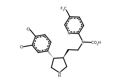 O=C(O)N(CC[C@H]1CNC[C@@H]1c1ccc(Cl)c(Cl)c1)c1ccc(C(F)(F)F)cn1